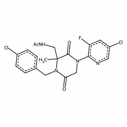 CC(=O)NCC1(C)C(=O)N(c2ncc(Cl)cc2F)CC(=O)N1Cc1ccc(Cl)cc1